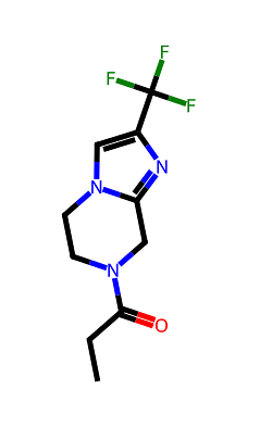 CCC(=O)N1CCn2cc(C(F)(F)F)nc2C1